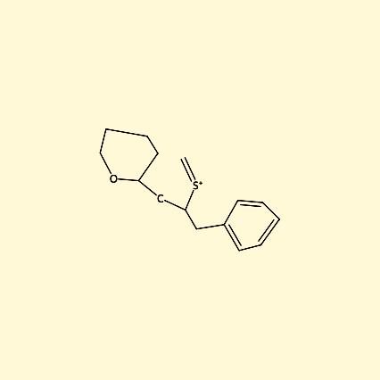 C=[S+]C(Cc1ccccc1)CC1CCCCO1